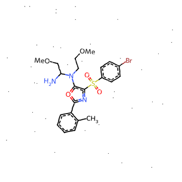 COCCN(c1oc(-c2ccccc2C)nc1S(=O)(=O)c1ccc(Br)cc1)C(N)COC